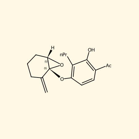 C=C1CCC[C@@H]2O[C@]12Oc1ccc(C(C)=O)c(O)c1CCC